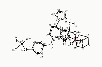 CC(C)(C)OC(=O)N1C2CC1CN(c1nc3c(Oc4ccc(OC(F)(F)F)cn4)ccc(-c4nccs4)c3o1)C2